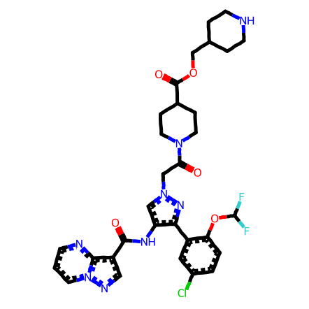 O=C(Nc1cn(CC(=O)N2CCC(C(=O)OCC3CCNCC3)CC2)nc1-c1cc(Cl)ccc1OC(F)F)c1cnn2cccnc12